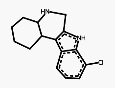 Clc1cccc2c3c([nH]c12)CNC1CCCCC31